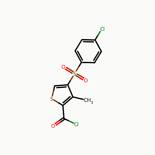 Cc1c(S(=O)(=O)c2ccc(Cl)cc2)csc1C(=O)Cl